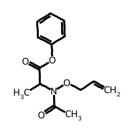 C=CCON(C(C)=O)C(C)C(=O)Oc1ccccc1